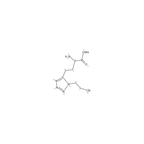 COC(=O)C(N)CCc1nnnn1CCC#N